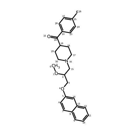 COC(COc1ccc2ccccc2c1)CN1CCC(C(=O)c2ccc(F)cc2)CC1